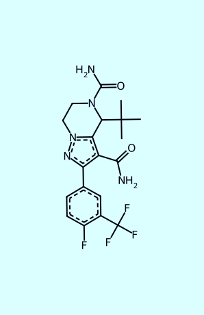 CC(C)(C)C1c2c(C(N)=O)c(-c3ccc(F)c(C(F)(F)F)c3)nn2CCN1C(N)=O